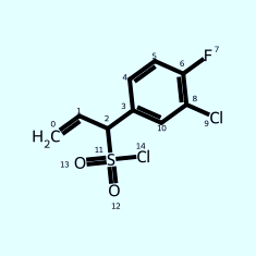 C=CC(c1ccc(F)c(Cl)c1)S(=O)(=O)Cl